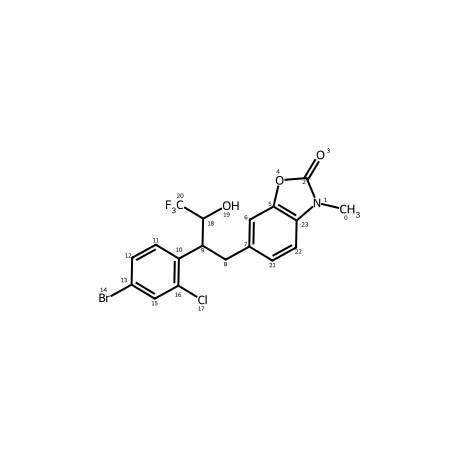 Cn1c(=O)oc2cc(CC(c3ccc(Br)cc3Cl)C(O)C(F)(F)F)ccc21